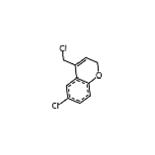 ClCC1=CCOc2ccc(Cl)cc21